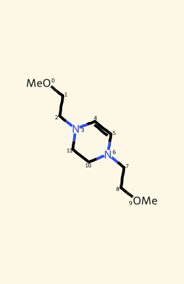 COCCN1C=CN(CCOC)CC1